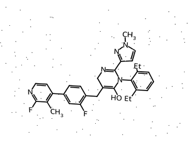 CCc1cccc(CC)c1N1C(c2ccn(C)n2)=NCC(Cc2ccc(-c3ccnc(F)c3C)cc2F)=C1O